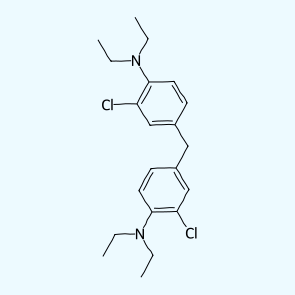 CCN(CC)c1ccc(Cc2ccc(N(CC)CC)c(Cl)c2)cc1Cl